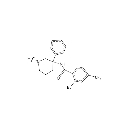 CCc1cc(C(F)(F)F)ccc1C(=O)N[C@]1(c2ccccc2)CCCN(C)C1